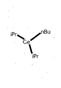 CCC[CH2][Ge]([CH](C)C)[CH](C)C